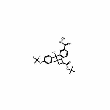 CC(C)(C)OC(=O)N1CC(C)(C(O)(c2ccc(OC(F)(F)F)cc2)c2cccc(C(=N)NO)c2)C1